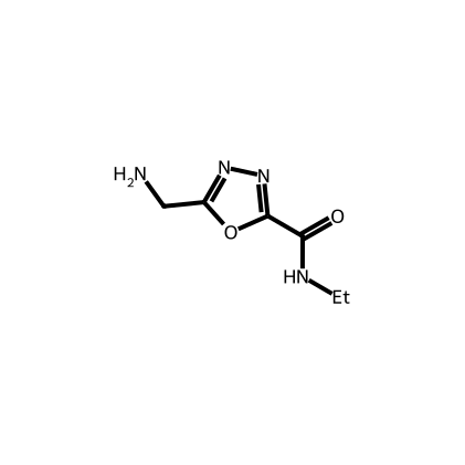 CCNC(=O)c1nnc(CN)o1